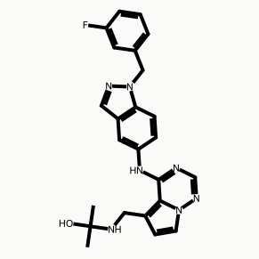 CC(C)(O)NCc1ccn2ncnc(Nc3ccc4c(cnn4Cc4cccc(F)c4)c3)c12